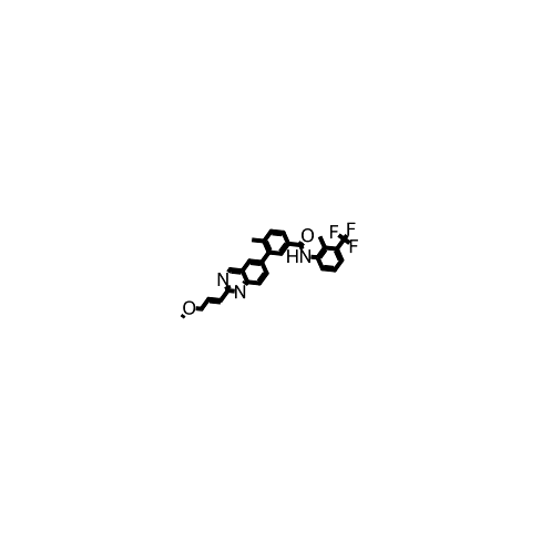 COC/C=C/c1ncc2cc(-c3cc(C(=O)Nc4cccc(C(F)(F)F)c4C)ccc3C)ccc2n1